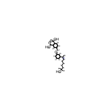 C/C(=C/CCCCC(C)(C)O)c1cccc(OCc2ccc(C(=O)O)c(C(=O)O)c2)c1